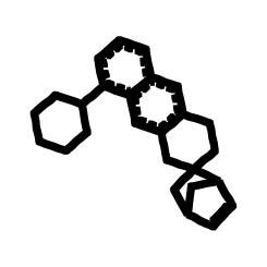 C1=CC2CC1CC21CCc2cc3cccc(C4CCCCC4)c3cc2C1